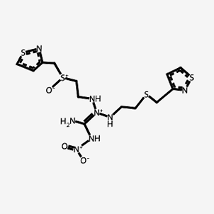 NC(N[N+](=O)[O-])=[N+](NCCSCc1ccsn1)NCC[S+]([O-])Cc1ccsn1